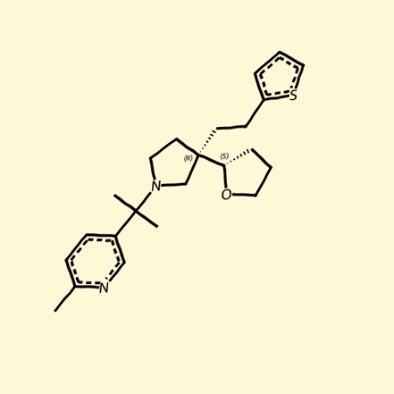 Cc1ccc(C(C)(C)N2CC[C@@](CCc3cccs3)([C@@H]3CCCO3)C2)cn1